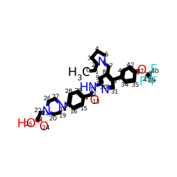 CCC1CCCN1Cc1cc(NC(=O)c2ccc(N3CCN(CC(=O)O)CC3)cc2)ncc1-c1ccc(OC(F)(F)F)cc1